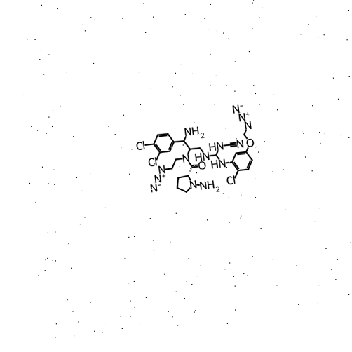 N#CNC(NCC(C(N)c1ccc(Cl)c(Cl)c1)N(CCN=[N+]=[N-])C(=O)[C@H]1CCCN1N)Nc1cc(OCN=[N+]=[N-])ccc1Cl